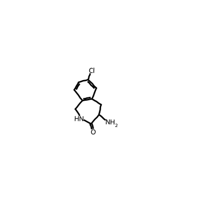 NC1Cc2cc(Cl)ccc2CNC1=O